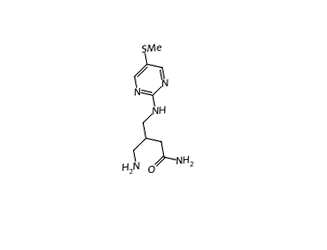 CSc1cnc(NCC(CN)CC(N)=O)nc1